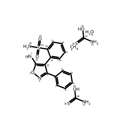 C.CCCc1onc(-c2ccccc2)c1-c1ccccc1S(N)(=O)=O.NC(O)=S.NC(O)=S.O